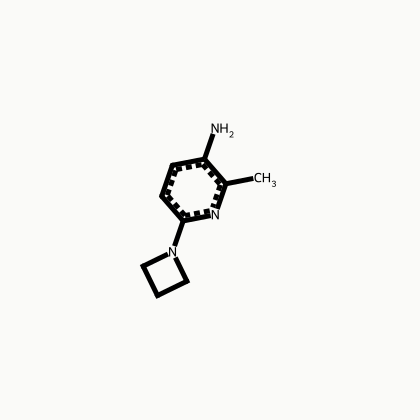 Cc1nc(N2CCC2)ccc1N